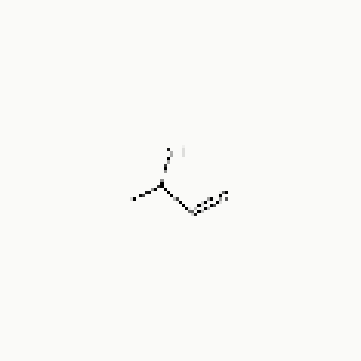 CC([NH])C=O